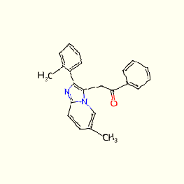 Cc1ccc2nc(-c3ccccc3C)c(CC(=O)c3ccccc3)n2c1